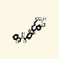 O=C(O)CCCCc1nc2cc(C(=O)N[C@@H]3COc4ccccc43)ccc2nc1-c1ccc(Cl)cc1